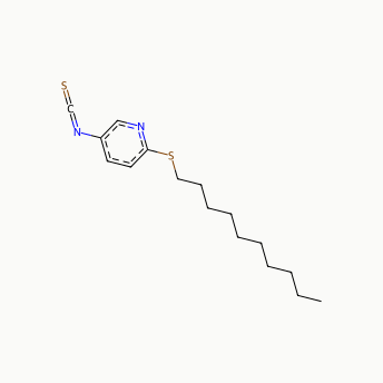 CCCCCCCCCCSc1ccc(N=C=S)cn1